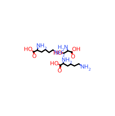 NC(CO)C(=O)O.NCCCCC(N)C(=O)O.NCCCCC(N)C(=O)O